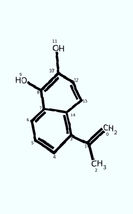 C=C(C)c1cccc2c(O)c(O)ccc12